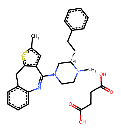 Cc1cc2c(s1)Cc1ccccc1N=C2N1CCN(C)[C@@H](CCc2ccccc2)C1.O=C(O)CCC(=O)O